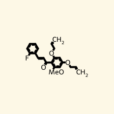 C=CCOc1cc(OC)c(C(=O)/C=C/c2ccccc2F)c(OCC=C)c1